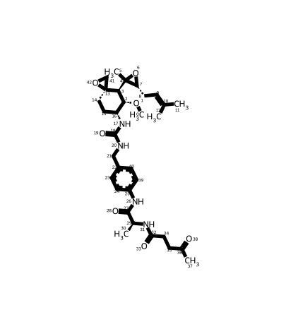 CO[C@H]1[C@H](C2(C)O[C@@H]2CC=C(C)C)[C@]2(CC[C@H]1NC(=O)NCc1ccc(NC(=O)[C@H](C)NC(=O)CCC(C)=O)cc1)CO2